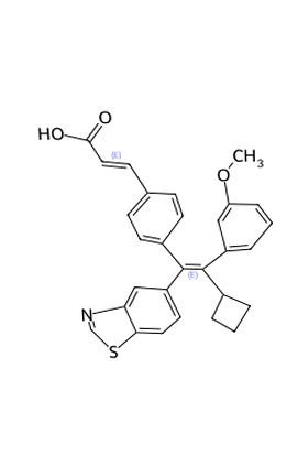 COc1cccc(/C(=C(\c2ccc(/C=C/C(=O)O)cc2)c2ccc3scnc3c2)C2CCC2)c1